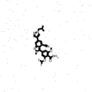 COc1cc(-c2c3c(C#N)cc(-c4cnn(CC(C)C)c4)cc3nn2C)cc(OC(F)F)c1C(N)=O